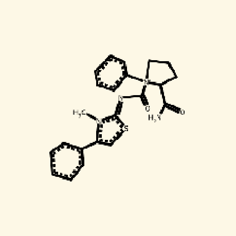 Cn1c(-c2ccccc2)csc1=NC(=O)[N+]1(c2ccccc2)CCCC1C(N)=O